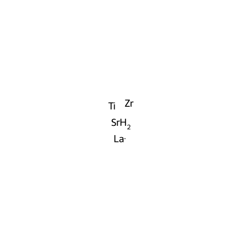 [La].[SrH2].[Ti].[Zr]